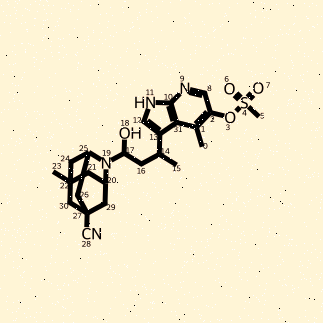 Cc1c(OS(C)(=O)=O)cnc2[nH]cc(C(C)CC(O)N3C4CC5(C)CC3CC(C#N)(C4)C5)c12